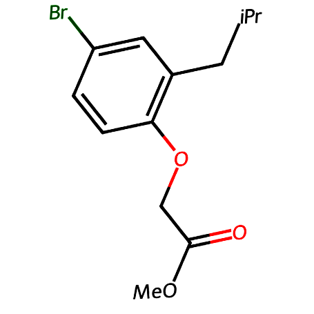 COC(=O)COc1ccc(Br)cc1CC(C)C